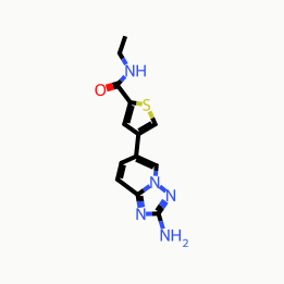 CCNC(=O)c1cc(-c2ccc3nc(N)nn3c2)cs1